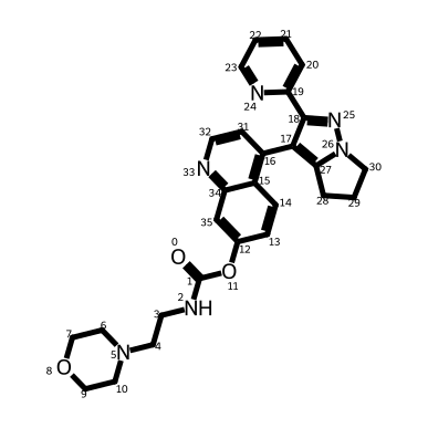 O=C(NCCN1CCOCC1)Oc1ccc2c(-c3c(-c4ccccn4)nn4c3CCC4)ccnc2c1